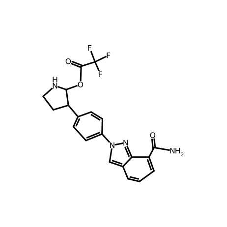 NC(=O)c1cccc2cn(-c3ccc(C4CCNC4OC(=O)C(F)(F)F)cc3)nc12